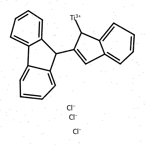 [Cl-].[Cl-].[Cl-].[Ti+3][CH]1C(C2c3ccccc3-c3ccccc32)=Cc2ccccc21